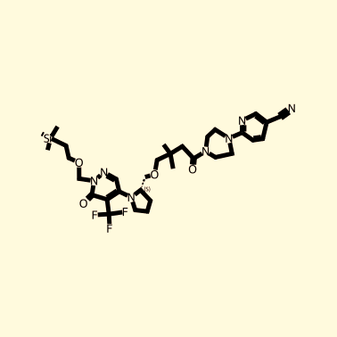 CC(C)(COC[C@@H]1CCCN1c1cnn(COCC[Si](C)(C)C)c(=O)c1C(F)(F)F)CC(=O)N1CCN(c2ccc(C#N)cn2)CC1